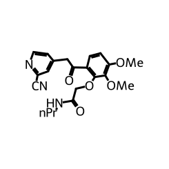 CCCNC(=O)COc1c(C(=O)Cc2ccnc(C#N)c2)ccc(OC)c1OC